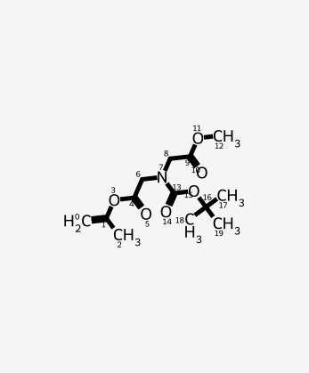 C=C(C)OC(=O)CN(CC(=O)OC)C(=O)OC(C)(C)C